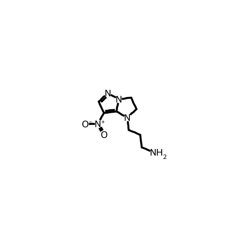 NCCCN1CCn2ncc([N+](=O)[O-])c21